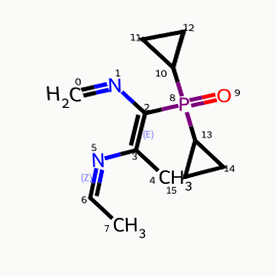 C=N/C(=C(C)\N=C/C)P(=O)(C1CC1)C1CC1